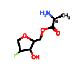 C[C@H](N)C(=O)OCC1OCC(F)C1O